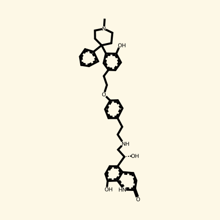 CN1CCC(c2ccccc2)(c2cc(CCOc3ccc(CCNC[C@H](O)c4ccc(O)c5[nH]c(=O)ccc45)cc3)ccc2O)CC1